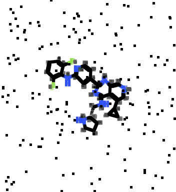 Fc1cccc(F)c1Nc1cc(-c2nc(NC[C@@H]3CCCN3)c3c(C4CC4)cncc3n2)ccn1